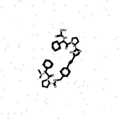 COC(=O)N[C@@H](C(=O)N1CCC[C@H]1c1ncc(C#Cc2ccc(CNC(=O)[C@@H]3CCCN3C(=O)[C@@H](c3ccccc3)N(C)C)cc2)[nH]1)c1ccccc1